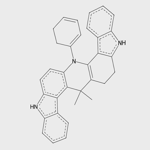 CC1(C)C2=C(c3c([nH]c4ccccc34)CC2)N(C2=CC=CCC2)c2ccc3[nH]c4ccccc4c3c21